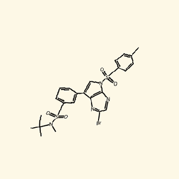 Cc1ccc(S(=O)(=O)n2cc(-c3cccc(S(=O)(=O)N(C)C(C)(C)C)c3)c3nc(Br)cnc32)cc1